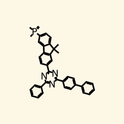 C=P(C)(C)c1ccc2c(c1)-c1ccc(-c3nc(-c4ccccc4)nc(-c4ccc(-c5ccccc5)cc4)n3)cc1C2(C)C